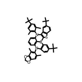 Cc1cc(C(C)(C)C)cc(C)c1N1c2cccc3c2B(c2cc(C(C)(C)C)ccc2N3c2c(C)cc3c(c2C)OCO3)c2sc3ccc(C(C)(C)C)cc3c21